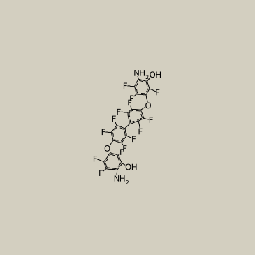 Nc1c(O)c(F)c(Oc2c(F)c(F)c(-c3c(F)c(F)c(Oc4c(F)c(O)c(N)c(F)c4F)c(F)c3F)c(F)c2F)c(F)c1F